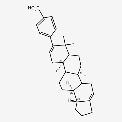 CC1(C)C(c2ccc(C(=O)O)cc2)=CC[C@@]2(C)C1CC[C@@]1(C)C3CC=C4CCC[C@@H]4[C@H]3CCC12